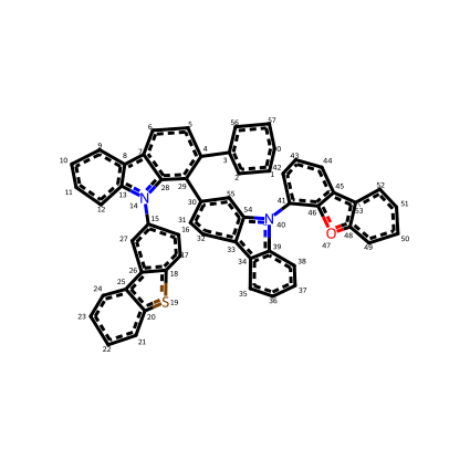 c1ccc(-c2ccc3c4ccccc4n(-c4ccc5sc6ccccc6c5c4)c3c2-c2ccc3c4ccccc4n(-c4cccc5c4oc4ccccc45)c3c2)cc1